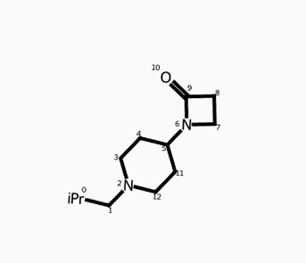 CC(C)CN1CCC(N2CCC2=O)CC1